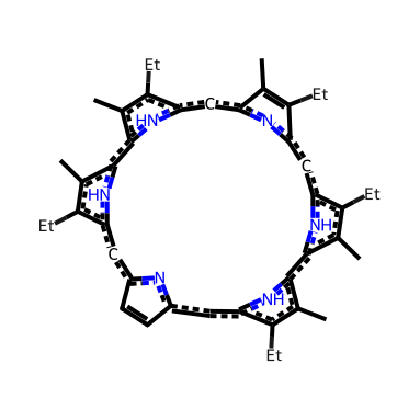 CCC1=C(C)c2cc3[nH]c(c(C)c3CC)c3[nH]c(cc4nc(cc5[nH]c(c(C)c5CC)c5[nH]c(cc1n2)c(CC)c5C)C=C4)c(CC)c3C